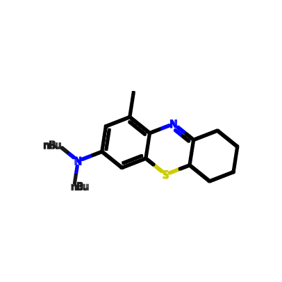 CCCCN(CCCC)c1cc(C)c2c(c1)SC1CCCCC1=N2